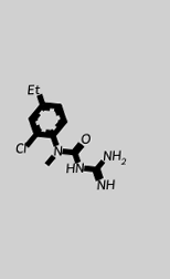 CCc1ccc(N(C)C(=O)NC(=N)N)c(Cl)c1